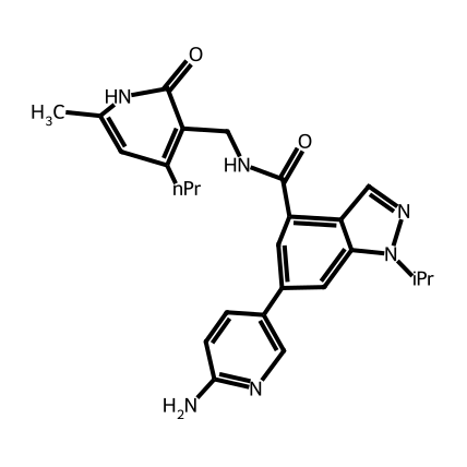 CCCc1cc(C)[nH]c(=O)c1CNC(=O)c1cc(-c2ccc(N)nc2)cc2c1cnn2C(C)C